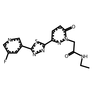 CCNC(=O)Cn1nc(-c2nnc(-c3cncc(F)c3)s2)ccc1=O